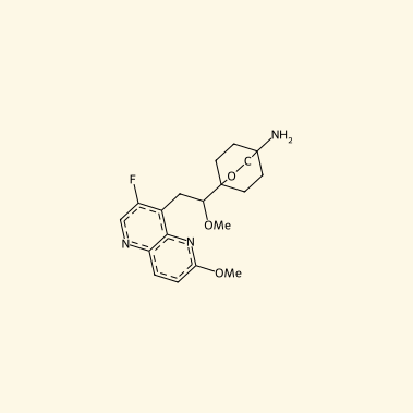 COc1ccc2ncc(F)c(CC(OC)C34CCC(N)(CC3)CO4)c2n1